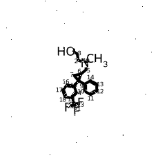 CN(CCO)CC1CC1(c1ccccc1)c1cccc(C(F)(F)F)c1